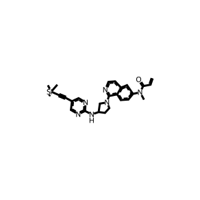 C=CC(=O)N(C)c1ccc2c(N3CCC(Nc4ncc(C#C[Si](C)(C)C)cn4)C3)nccc2c1